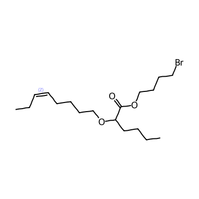 CC/C=C\CCCCOC(CCCC)C(=O)OCCCCBr